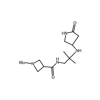 CC(C)(CNC(=O)C1CN(C(C)(C)C)C1)NC1CNC(=O)C1